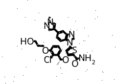 C[C@@H](Oc1cc(-n2cnc3cc(-c4cnn(C)c4)ccc32)sc1C(N)=O)c1cccc(OCCCO)c1Cl